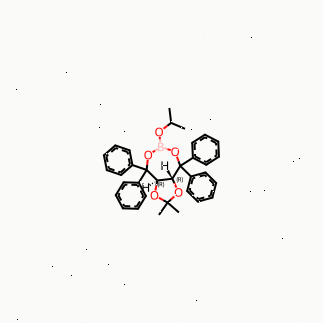 CC(C)OB1OC(c2ccccc2)(c2ccccc2)[C@@H]2OC(C)(C)O[C@H]2C(c2ccccc2)(c2ccccc2)O1